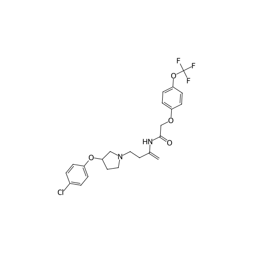 C=C(CCN1CCC(Oc2ccc(Cl)cc2)C1)NC(=O)COc1ccc(OC(F)(F)F)cc1